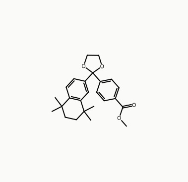 COC(=O)c1ccc(C2(c3ccc4c(c3)C(C)(C)CCC4(C)C)OCCO2)cc1